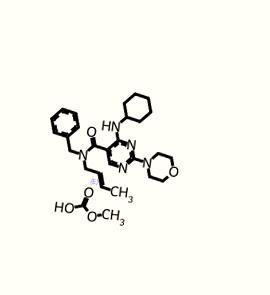 C/C=C/CN(Cc1ccccc1)C(=O)c1cnc(N2CCOCC2)nc1NC1CCCCC1.COC(=O)O